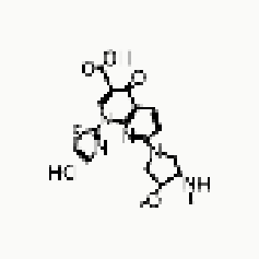 CN[C@H]1CN(c2ccc3c(=O)c(C(=O)O)cn(-c4nccs4)c3n2)C[C@@H]1OC.Cl